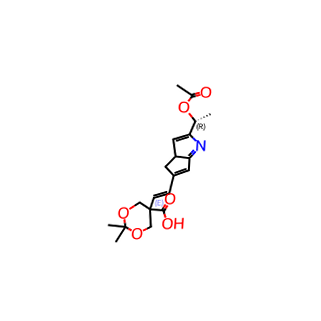 CC(=O)O[C@H](C)C1=CC2CC(/C=C/C3(C(=O)O)COC(C)(C)OC3)=CC2=N1